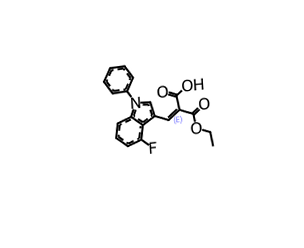 CCOC(=O)/C(=C/c1cn(-c2ccccc2)c2cccc(F)c12)C(=O)O